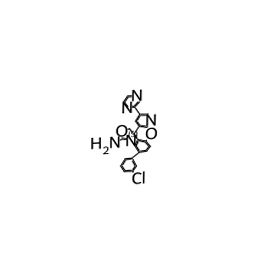 NC1=N[C@@]2(CO1)c1cc(-c3cccc(Cl)c3)ccc1Oc1ncc(-c3cnccn3)cc12